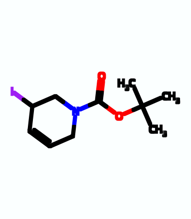 CC(C)(C)OC(=O)N1CC=CC(I)C1